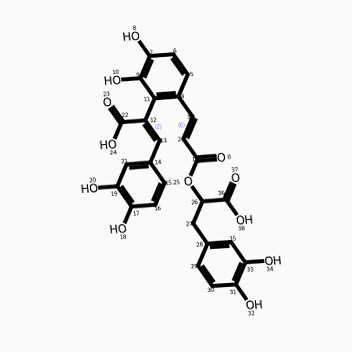 O=C(/C=C/c1ccc(O)c(O)c1/C(=C/c1ccc(O)c(O)c1)C(=O)O)OC(Cc1ccc(O)c(O)c1)C(=O)O